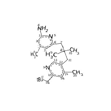 Cc1cc(N)nc(CC(C)(C)Cc2cnc(CC(C)(C)C)cc2C)c1